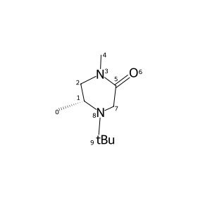 C[C@@H]1CN(C)C(=O)CN1C(C)(C)C